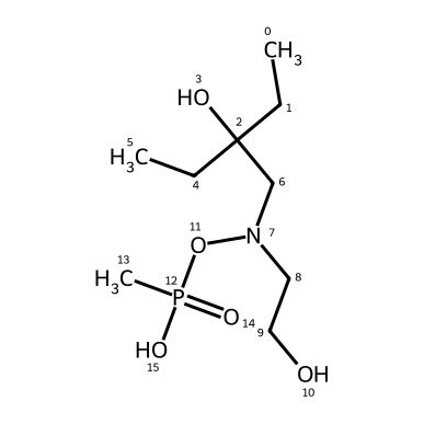 CCC(O)(CC)CN(CCO)OP(C)(=O)O